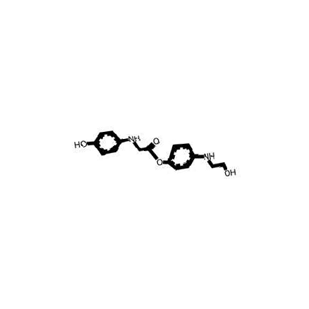 O=C(CNc1ccc(O)cc1)Oc1ccc(NCCO)cc1